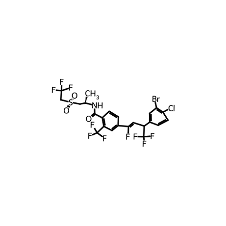 C[C@H](CS(=O)(=O)CC(F)(F)F)NC(=O)c1ccc(/C(F)=C/C(c2ccc(Cl)c(Br)c2)C(F)(F)F)cc1C(F)(F)F